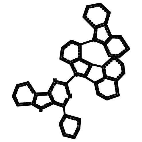 c1ccc(-c2nc(-n3c4c(c5c(-n6c7ccccc7c7ccccc76)cccc53)-c3cccc5cccc-4c35)nc3c2sc2ccccc23)cc1